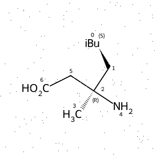 CC[C@H](C)C[C@@](C)(N)CC(=O)O